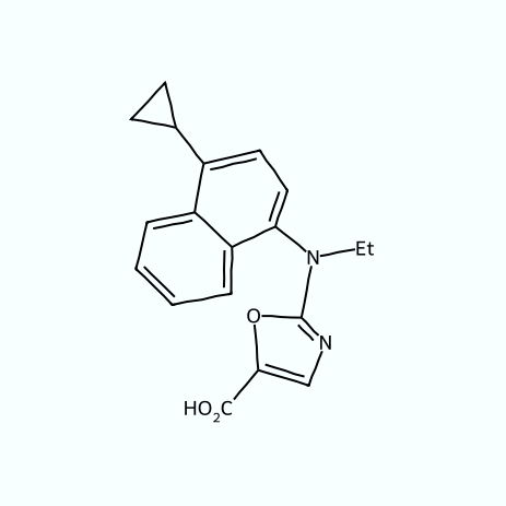 CCN(c1ncc(C(=O)O)o1)c1ccc(C2CC2)c2ccccc12